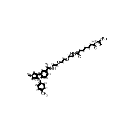 CC(NC(=O)CCCCCC(=O)NCCOCCOCCNC(=O)c1ccc2c(c1)c1cn(C)nc1n2C1=CC=C(C(F)(F)F)CC1)C(C)(C)C